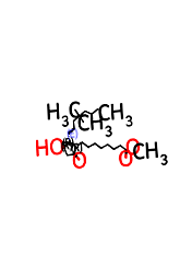 CCCCC(C)(C)C/C=C/[C@H]1[C@H](O)CC(=O)[C@@H]1CCCCCCCC(=O)OC